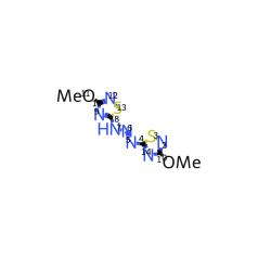 COc1nsc(N=NNc2nc(OC)ns2)n1